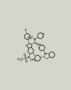 CN(C(=O)c1c(-c2ccc(F)cc2)oc2cc(N(C)S(C)(=O)=O)c(-c3cccc(C4Cc5ccccc5N4c4ccncc4)c3)cc12)c1ccncc1